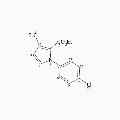 CCOC(=O)c1c(C(F)(F)F)ccn1-c1ccc(Cl)cc1